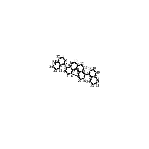 c1cc(-c2ccc3c4c2ccc2ccc5c(-c6cccc7ncccc67)ccc-3c5c24)c2cccnc2c1